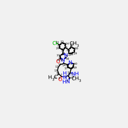 CN/C1=C(\C=N)NC(=O)C(C)CCCC(n2cnc(-c3cc(Cl)ccc3-c3ccccc3C)cc2=O)c2cc1ccn2